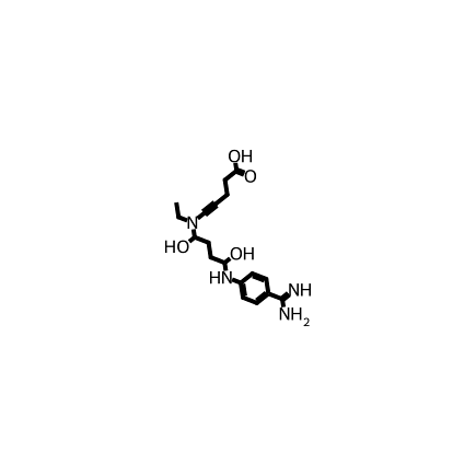 CCN(C#CCCC(=O)O)C(O)CCC(O)Nc1ccc(C(=N)N)cc1